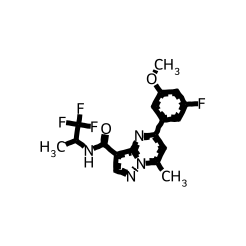 COc1cc(F)cc(-c2cc(C)n3ncc(C(=O)NC(C)C(F)(F)F)c3n2)c1